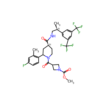 COC(=O)N1CC(C(=O)N2CC[C@H](C(=O)NC[C@@H](C)c3cc(C(F)(F)F)cc(C(F)(F)F)c3)CC2c2ccc(F)cc2C)C1